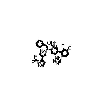 [O-][n+]1cc(-c2c(-n3cnnn3)ccc(Cl)c2F)ccc1[C@H]([C@@H](O)c1ccccc1)n1cc(-c2ccnn2C(F)F)cn1